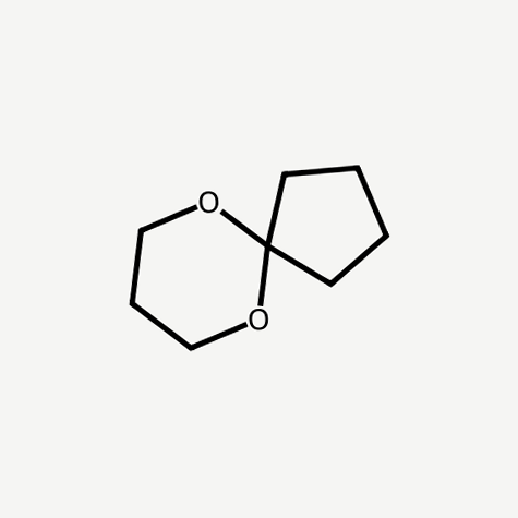 C1COC2(CCCC2)OC1